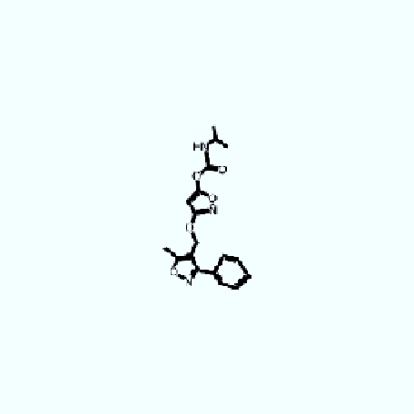 Cc1onc(-c2ccccc2)c1COc1cc(OC(=O)NC(C)C)on1